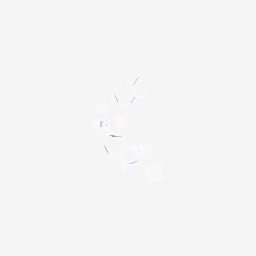 C=C/C(C)=C\C(=C/C)S(=O)(=O)NC1=CC2NC(C3CCC3)=NC2C=C1